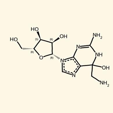 NCC1(O)NC(N)=Nc2c1ncn2[C@@H]1O[C@H](CO)[C@@H](O)[C@H]1O